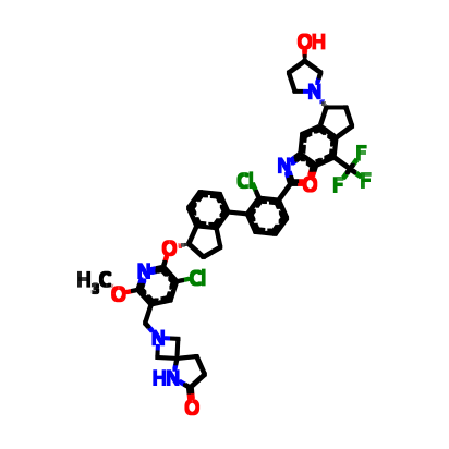 COc1nc(O[C@H]2CCc3c(-c4cccc(-c5nc6cc7c(c(C(F)(F)F)c6o5)CC[C@H]7N5CC[C@@H](O)C5)c4Cl)cccc32)c(Cl)cc1CN1CC2(CCC(=O)N2)C1